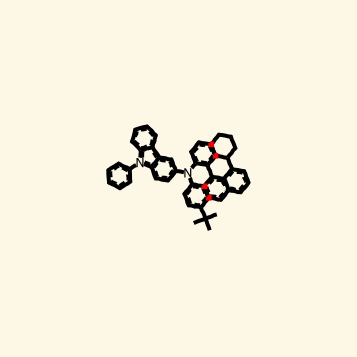 CC(C)(C)c1ccc(N(c2ccc3c(c2)c2ccccc2n3-c2ccccc2)c2ccccc2-c2cccc3cccc(C4CCCCC4)c23)cc1